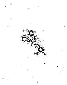 C[C@](N)(Cc1ccc(O)c(O)c1)C(=O)N(C(=O)OCc1ccccc1)[C@@](C)(Cc1ccc(O)c(O)c1)C(=O)O